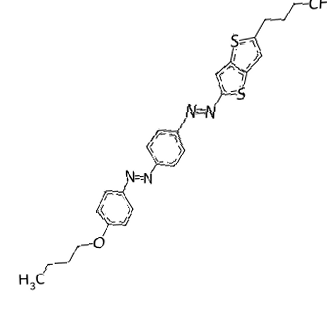 CCCCOc1ccc(N=Nc2ccc(N=Nc3cc4sc(CCCC)cc4s3)cc2)cc1